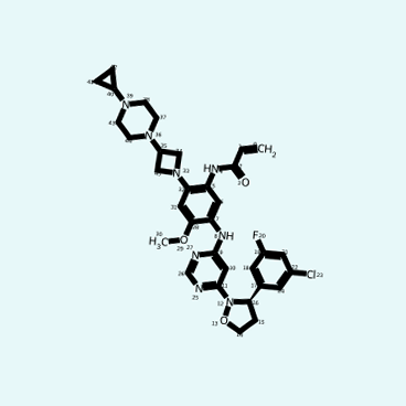 C=CC(=O)Nc1cc(Nc2cc(N3OCC[C@@H]3c3cc(F)cc(Cl)c3)ncn2)c(OC)cc1N1CC(N2CCN(C3CC3)CC2)C1